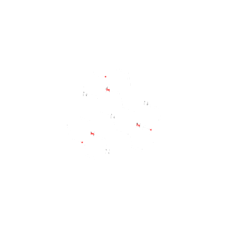 c1ccc(C(c2ccccn2)N(C(c2ccccn2)c2ccccn2)C(c2ccccn2)c2ccccn2)nc1